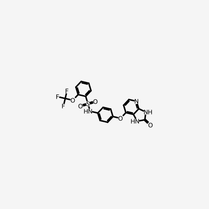 O=c1[nH]c2nccc(Oc3ccc(NS(=O)(=O)c4ccccc4OC(F)(F)F)cc3)c2[nH]1